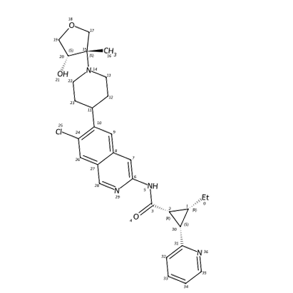 CC[C@H]1[C@@H](C(=O)Nc2cc3cc(C4CCN([C@@]5(C)COC[C@H]5O)CC4)c(Cl)cc3cn2)[C@H]1c1ccccn1